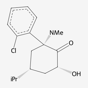 CN[C@@]1(c2ccccc2Cl)C[C@@H](C(C)C)C[C@@H](O)C1=O